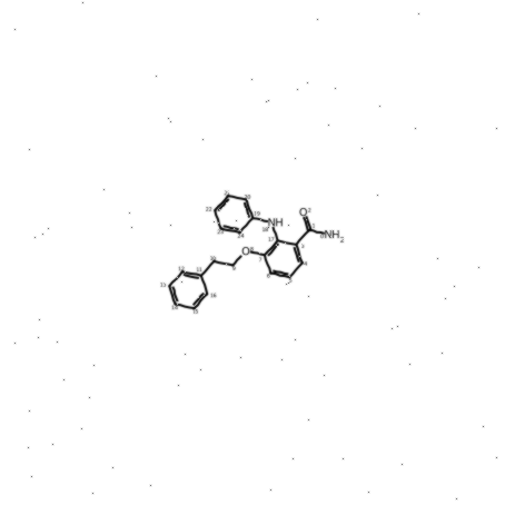 NC(=O)c1cccc(OCCc2ccccc2)c1Nc1ccccc1